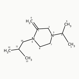 C=C1CN(C(C)C)CCN1CC(C)C